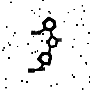 COc1ccccc1C1NCC(c2ccc(NO)cc2)O1